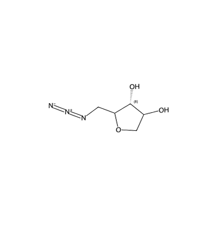 [N-]=[N+]=NCC1OCC(O)[C@H]1O